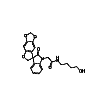 O=C(CN1C(=O)C2(COc3cc4c(cc32)OCO4)c2ccccc21)NCCCCO